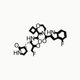 O=C1NCC[C@H]1C[C@H](NC(=O)[C@@H]1N(C(=O)c2cc3c(F)cccc3[nH]2)CCOC12CCC2)C(=O)CF